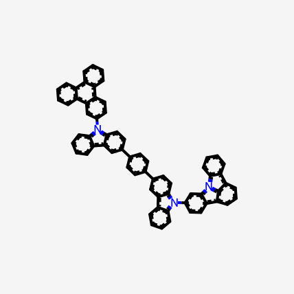 c1ccc2c(c1)c1ccccc1c1cc(-n3c4ccccc4c4cc(-c5ccc(-c6ccc7c(c6)c6ccccc6n7-c6ccc7c8cccc9c%10ccccc%10n(c7c6)c98)cc5)ccc43)ccc21